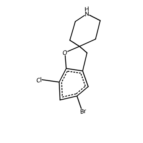 Clc1cc(Br)cc2c1OC1(CCNCC1)C2